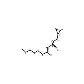 CCCCCC/C(C)=C/C(=O)OCC1CC1